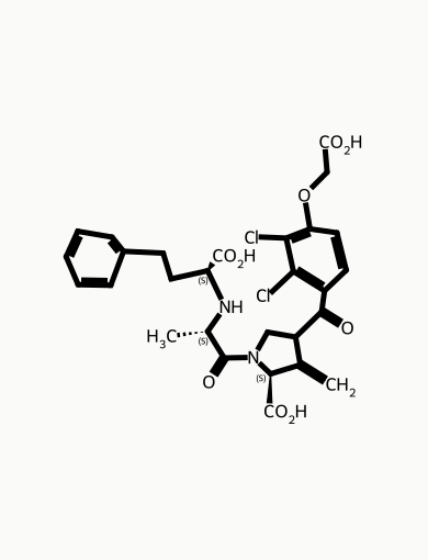 C=C1C(C(=O)c2ccc(OCC(=O)O)c(Cl)c2Cl)CN(C(=O)[C@H](C)N[C@@H](CCc2ccccc2)C(=O)O)[C@@H]1C(=O)O